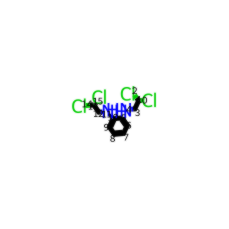 ClC(Cl)CNc1ccccc1NCC(Cl)Cl